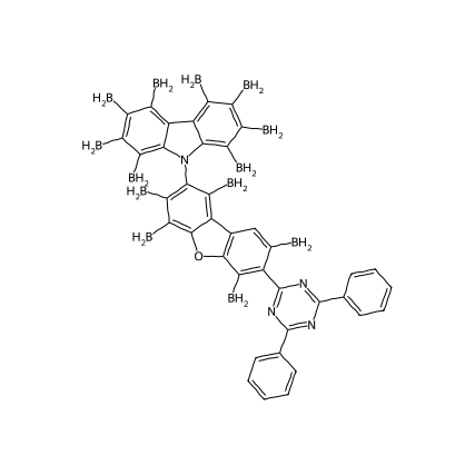 Bc1cc2c(oc3c(B)c(B)c(-n4c5c(B)c(B)c(B)c(B)c5c5c(B)c(B)c(B)c(B)c54)c(B)c32)c(B)c1-c1nc(-c2ccccc2)nc(-c2ccccc2)n1